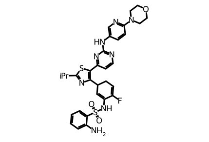 CC(C)c1nc(C2C=C(NS(=O)(=O)c3ccccc3N)C(F)=CC2)c(-c2ccnc(Nc3ccc(N4CCOCC4)nc3)n2)s1